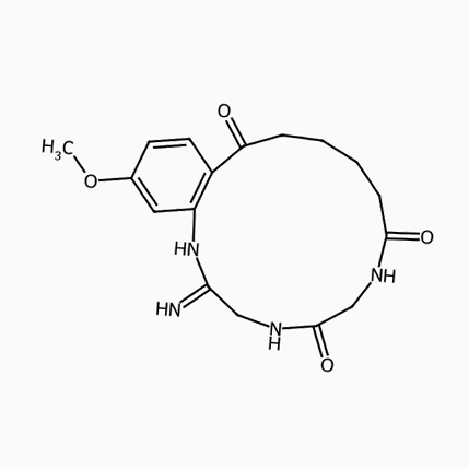 COc1ccc2c(c1)NC(=N)CNC(=O)CNC(=O)CCCCC2=O